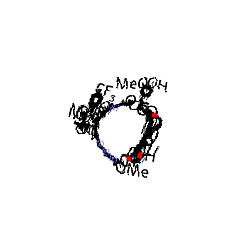 CO[C@H]1C[C@@H]2CC[C@@H](C)[C@@](O)(O2)C(=O)C(=O)N2CCCC[C@H]2C(=O)O[C@H]([C@H](C)C[C@@H]2CC[C@@H](O)[C@H](OC)C2)CC(=O)[C@H](C)/C=C(\C)[C@@H](O)[C@@H](OC)C(=O)[C@H](C)C[C@H](C)/C=C/C=C/C=C/1C.Cc1oncc1C(=O)Nc1ccc(C(F)(F)F)cc1